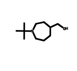 CC(C)(C)N1CCCC(CO)CC1